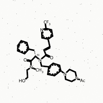 CC(=O)N1CCN(c2ccc(CN(C(=O)C=Cc3ccc(C(F)(F)F)nc3)[C@@H](Cc3ccccc3)C(=O)N(C)CCO)cc2)CC1